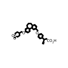 C#CC(CC(=O)O)c1ccc(OCc2ccc3c(c2)-c2ccc(OCC4CCS(=O)(=O)CC4)cc2CCC3)cc1